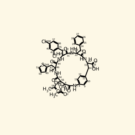 CC(=O)O[C@H]1C(=O)Nc2ccc(cc2)C[C@H](C(=O)O)NC(=O)[C@@H](Cc2ccccc2)NC(=O)[C@H](Cc2ccc(Cl)cc2Cl)NC(=O)[C@@H](Cc2cccs2)NC(=O)[C@@H]1OC(C)=O